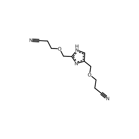 N#CCCOCc1c[nH]c(COCCC#N)n1